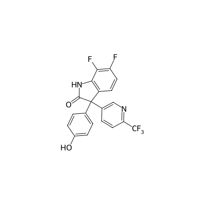 O=C1Nc2c(ccc(F)c2F)C1(c1ccc(O)cc1)c1ccc(C(F)(F)F)nc1